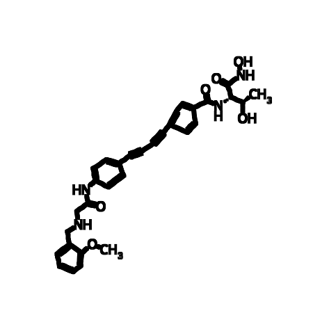 COc1ccccc1CNCC(=O)Nc1ccc(C#CC#Cc2ccc(C(=O)N[C@H](C(=O)NO)[C@@H](C)O)cc2)cc1